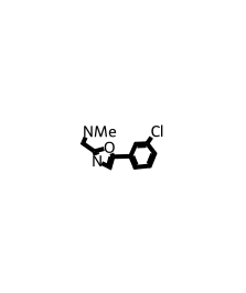 CNCc1ncc(-c2cccc(Cl)c2)o1